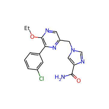 CCOc1ncc(Cn2cnc(C(N)=O)c2)nc1-c1cccc(Cl)c1